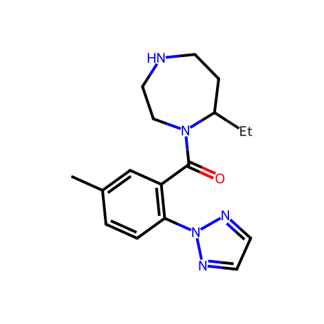 CCC1CCNCCN1C(=O)c1cc(C)ccc1-n1nccn1